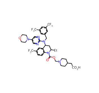 CCC1CC(N(Cc2cc(C(F)(F)F)cc(C(F)(F)F)c2)c2ncc(N3CCOCC3)cn2)c2cc(C(F)(F)F)ccc2N1C(=O)OCN1CCC(CC(=O)O)CC1